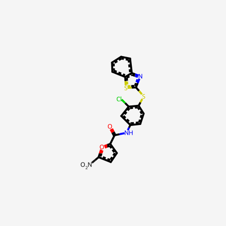 O=C(Nc1ccc(Sc2nc3ccccc3s2)c(Cl)c1)c1ccc([N+](=O)[O-])o1